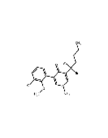 CCCCC(Br)(Br)c1cn(C)cc(-c2cccc(Cl)c2OC)c1=O